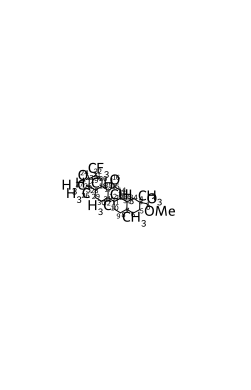 COC(=O)C1(C)CC[C@]2(C)CC[C@]3(C)C(=CC(=O)[C@@H]4[C@@]5(C)C=C(C(F)(F)F)C(=O)C(C)(C)C5CC[C@]43C)[C@H]2C1